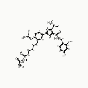 C[C@H](N)c1oc(-c2ccc(OC(F)F)c(OCCCCC(=O)NC(N)=O)c2)nc1C(=O)NCc1ccc(F)cc1F